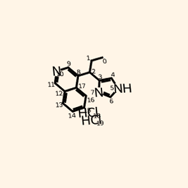 CCC(c1c[nH]cn1)c1cncc2ccccc12.Cl.Cl